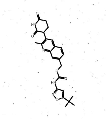 Cc1nc2cc(COC(=O)Nc3cc(C(C)(C)C)on3)ccc2cc1C1CCC(=O)NC1=O